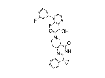 O=C(C(O)c1cccc(-c2cccc(F)c2)c1F)N1CCc2nc(C3(c4ccccc4)CC3)[nH]c(=O)c2C1